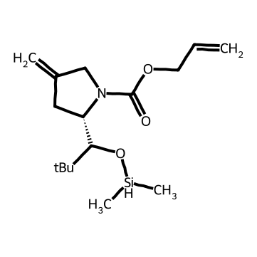 C=CCOC(=O)N1CC(=C)C[C@H]1C(O[SiH](C)C)C(C)(C)C